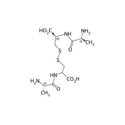 C[C@H](N)C(=O)NC(CSSC[C@H](NC(=O)[C@H](C)N)C(=O)O)C(=O)O